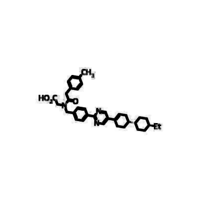 CC[C@H]1CC[C@H](C2CC=C(c3cnc(-c4ccc(CN(CC(=O)O)C(=O)Cc5ccc(C)cc5)cc4)nc3)CC2)CC1